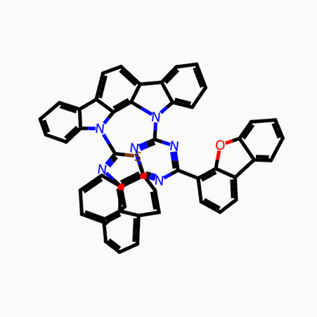 c1ccc(-c2nc(-c3cccc4c3oc3ccccc34)nc(-n3c4ccccc4c4ccc5c6ccccc6n(-c6nc7c(ccc8ccccc87)s6)c5c43)n2)cc1